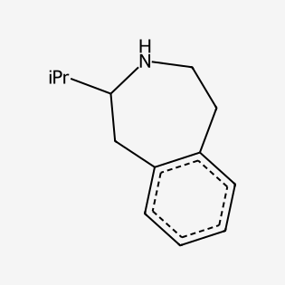 CC(C)C1Cc2ccccc2CCN1